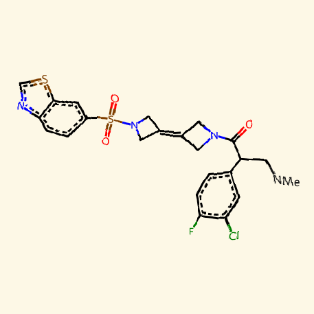 CNCC(C(=O)N1CC(=C2CN(S(=O)(=O)c3ccc4ncsc4c3)C2)C1)c1ccc(F)c(Cl)c1